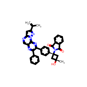 C=C(C)c1cc2ncc3nc(-c4ccccc4)c(-c4ccc([C@]5(N6C(=O)c7ccccc7C6=O)C[C@@](C)(O)C5)cc4)nc3n2n1